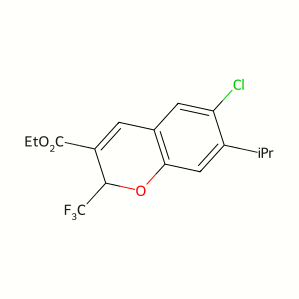 CCOC(=O)C1=Cc2cc(Cl)c(C(C)C)cc2OC1C(F)(F)F